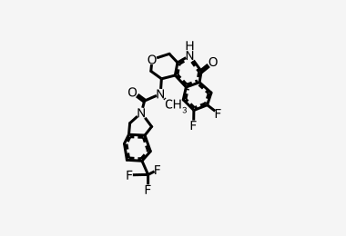 CN(C(=O)N1Cc2ccc(C(F)(F)F)cc2C1)C1COCc2[nH]c(=O)c3cc(F)c(F)cc3c21